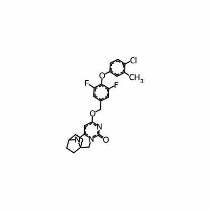 Cc1cc(Oc2c(F)cc(COc3cc4n(c(=O)n3)CC35CCC(CC3)N45)cc2F)ccc1Cl